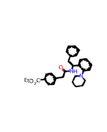 CCOC(=O)c1ccc(CC(=O)N/C(=C/c2ccccc2)c2ccccc2N2CCCCC2)cc1